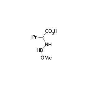 COBNC(C(=O)O)C(C)C